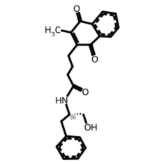 CC1=C(CCCC(=O)N[C@H](CO)Cc2ccccc2)C(=O)c2ccccc2C1=O